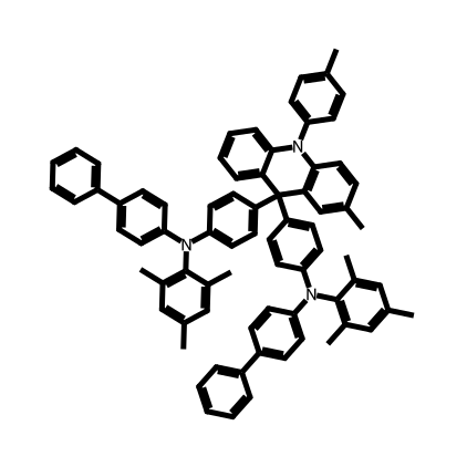 Cc1ccc(N2c3ccccc3C(c3ccc(N(c4ccc(-c5ccccc5)cc4)c4c(C)cc(C)cc4C)cc3)(c3ccc(N(c4ccc(-c5ccccc5)cc4)c4c(C)cc(C)cc4C)cc3)c3cc(C)ccc32)cc1